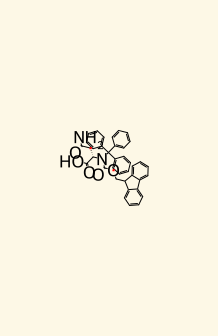 NC(=O)C[C@@H](C(=O)O)N(C(=O)OCC1c2ccccc2-c2ccccc21)C(c1ccccc1)(c1ccccc1)c1ccccc1